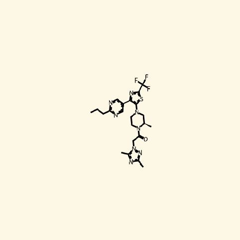 CCCc1ncc(-c2nc(C(F)(F)F)sc2N2CCN(C(=O)Cn3nc(C)nc3C)[C@H](C)C2)cn1